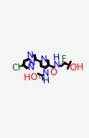 C[C@@H](CO)Nc1cc(-c2cnc3cc(Cl)cnn23)ncc1C(=O)NC[C@@H](F)C(C)(C)O